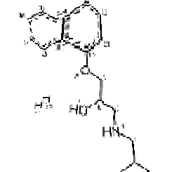 CC(C)CNCC(O)COc1cccc2ccccc12.[Cl-].[H+]